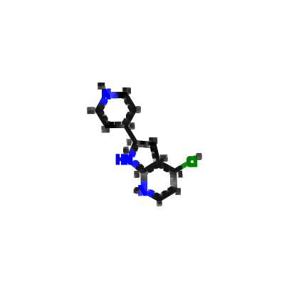 Clc1ccnc2[nH]c(-c3ccncc3)cc12